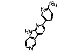 CC(C)(C)c1ccc(-c2ccc3c(n2)[nH]c2ccncc23)cn1